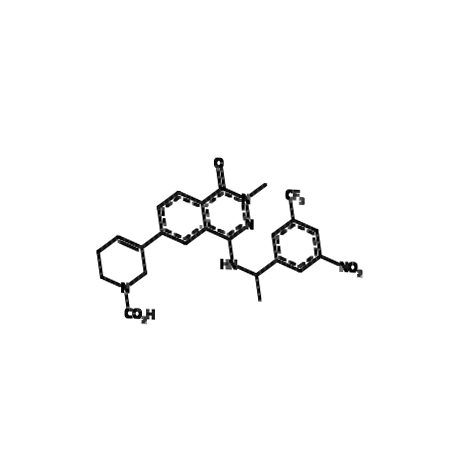 CC(Nc1nn(C)c(=O)c2ccc(C3=CCCN(C(=O)O)C3)cc12)c1cc([N+](=O)[O-])cc(C(F)(F)F)c1